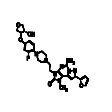 Cn1c(=O)n(CCN2CCN(c3ccc(O[C@H]4COC[C@@H]4O)cc3F)CC2)c2nc(N)n3nc(-c4ccco4)cc3c21